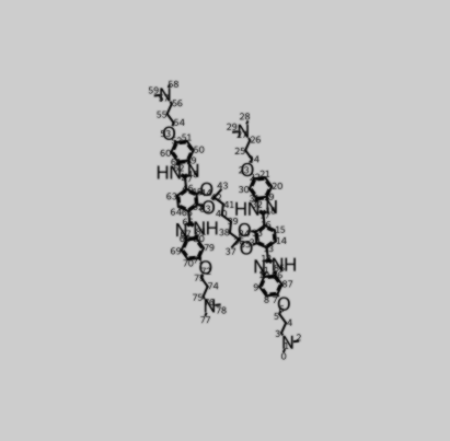 CN(C)CCCOc1ccc2nc(-c3ccc(-c4nc5ccc(OCCCN(C)C)cc5[nH]4)c4c3OC(C)(CCCCC3(C)Oc5c(-c6nc7ccc(OCCCN(C)C)cc7[nH]6)ccc(-c6nc7ccc(OCCCN(C)C)cc7[nH]6)c5O3)O4)[nH]c2c1